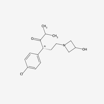 CC(C)C(=O)[C@H](CCN1CC(O)C1)c1ccc(Cl)cc1